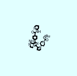 CC(C)(C)OC(=O)N1CCC(n2cccc2-c2nc(-c3ccc(C(=O)Nc4ccccn4)cc3)c3c(N)nccn23)CC1